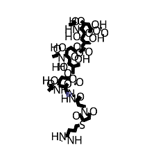 CNC(=N)CCCSC1CC(=O)N(CCC(=O)N/N=C/C2OC(OC=O)(OCC(CO)C(O)C3OC(OC=O)(OCC(CO)C(O)C4OC(O)(OC=O)CC(O)C4NC(C)=O)CC(O)C3NC(C)=O)CC(O)C2NC(C)=O)C1=O